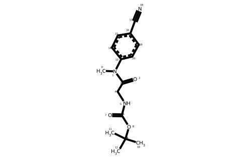 CN(C(=O)CNC(=O)OC(C)(C)C)c1ccc(C#N)cc1